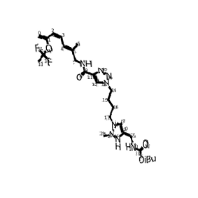 C=C(/C=C\C=C(/C)CNC(=O)c1cn(CCCCN2C=C(CNC(=O)OCC(C)C)NN2C)nn1)OC(C)(F)F